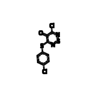 O=c1c(Cl)nsnc1Sc1ccc(Cl)cc1